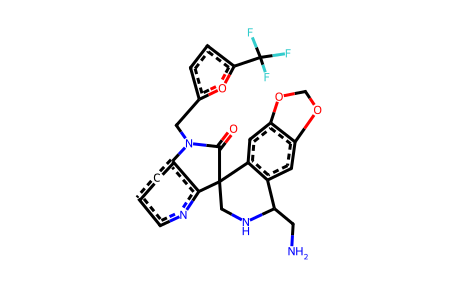 NCC1NCC2(C(=O)N(Cc3ccc(C(F)(F)F)o3)c3cccnc32)c2cc3c(cc21)OCO3